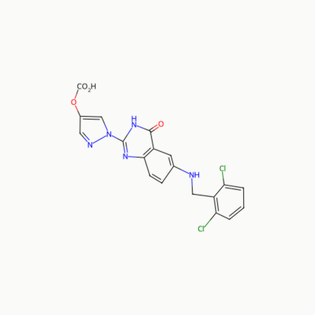 O=C(O)Oc1cnn(-c2nc3ccc(NCc4c(Cl)cccc4Cl)cc3c(=O)[nH]2)c1